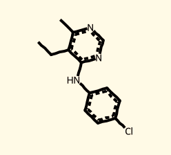 CCc1c(C)ncnc1Nc1ccc(Cl)cc1